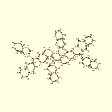 c1ccc2cc(-c3c4ccc5cc(N(c6ccc7ccccc7c6)c6ccc7ccccc7c6)ccc5c4c(-c4ccc5ccccc5c4)c4ccc5cc(N(c6ccc7ccccc7c6)c6ccc7ccccc7c6)ccc5c34)ccc2c1